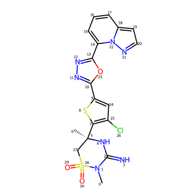 CN1C(=N)N[C@](C)(c2sc(-c3nnc(-c4cccc5ccnn45)o3)cc2Cl)CS1(=O)=O